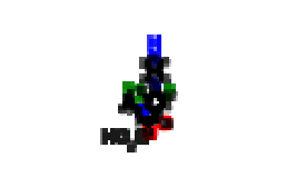 O=C(O)Oc1cn([C@@H]2C[C@@H]2F)c2c(Cl)c(N3CC4=C(CNC4)C3)c(F)cc2c1=O